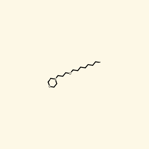 CCCCCCCCOCCCN1CCOCC1